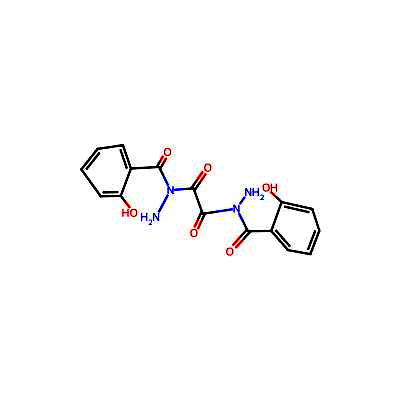 NN(C(=O)C(=O)N(N)C(=O)c1ccccc1O)C(=O)c1ccccc1O